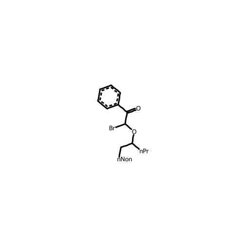 CCCCCCCCCCC(CCC)OC(Br)C(=O)c1ccccc1